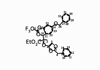 CCOC(=O)C(C)(OC1=COC(Cc2ccccc2)O1)C(OC(=O)C(F)(F)F)c1ccc(OCc2ccccc2)cc1